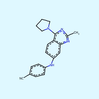 Cc1nc(N2CCCC2)c2ccc(Nc3ccc(C#N)cc3)cc2n1